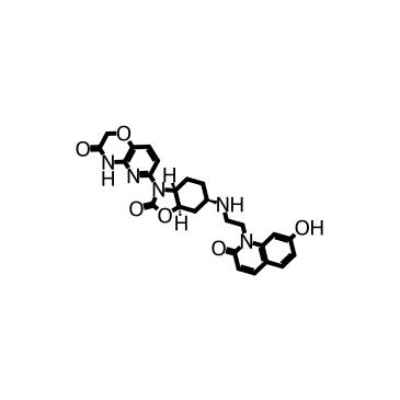 O=C1COc2ccc(N3C(=O)O[C@@H]4C[C@H](NCCn5c(=O)ccc6ccc(O)cc65)CC[C@H]43)nc2N1